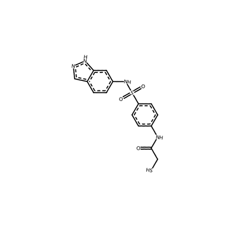 O=C(CS)Nc1ccc(S(=O)(=O)Nc2ccc3cn[nH]c3c2)cc1